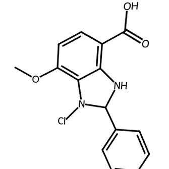 COc1ccc(C(=O)O)c2c1N(Cl)C(c1ccccc1)N2